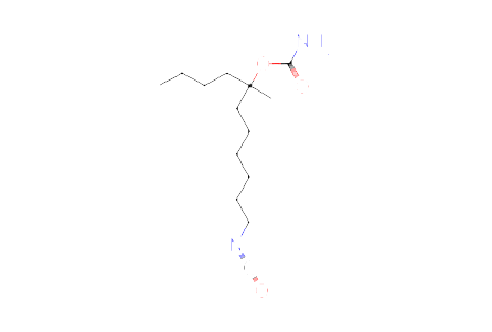 CCCCC(C)(CCCCCCN=C=O)OC(N)=O